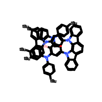 CC(C)(C)c1ccc(N2c3ccc(C(C)(C)C)cc3B3c4cc(C(C)(C)C)ccc4N(c4ccc(C(C)(C)C)cc4)c4cc(-n5c6ccccc6c6ccc7c8ccccc8n(-c8ccc(-n9c%10ccc(C(C)(C)C)cc%10c%10cc(C(C)(C)C)ccc%109)cc8)c7c65)cc2c43)cc1